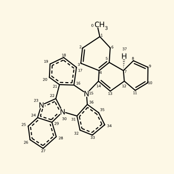 CC1C=CC2=C(C1)[C@H]1C=CC=CC1C=C2N1c2ccccc2-c2nc3ccccc3n2-c2ccccc21